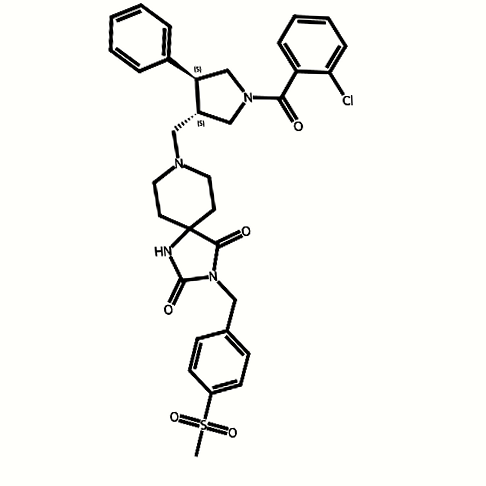 CS(=O)(=O)c1ccc(CN2C(=O)NC3(CCN(C[C@H]4CN(C(=O)c5ccccc5Cl)C[C@@H]4c4ccccc4)CC3)C2=O)cc1